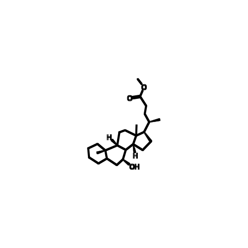 COC(=O)CC[C@@H](C)[C@H]1CC[C@@H]2C3[C@@H](CCC21C)[C@@]1(C)CCCCC1C[C@@H]3O